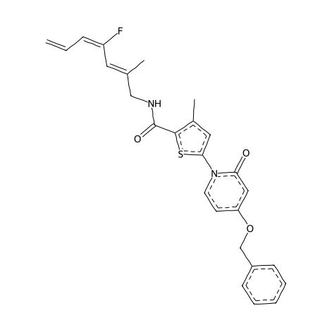 C=C/C=C(F)\C=C(/C)CNC(=O)c1sc(-n2ccc(OCc3ccccc3)cc2=O)cc1C